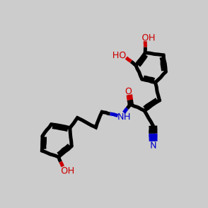 N#CC(=Cc1ccc(O)c(O)c1)C(=O)NCCCc1cccc(O)c1